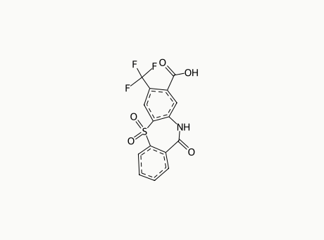 O=C(O)c1cc2c(cc1C(F)(F)F)S(=O)(=O)c1ccccc1C(=O)N2